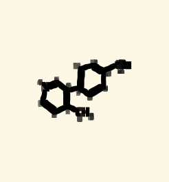 Cc1ccncc1-c1ccc(C(C)(C)C)cc1